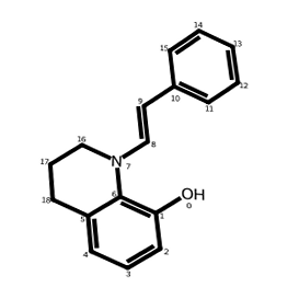 Oc1cccc2c1N(C=Cc1ccccc1)CCC2